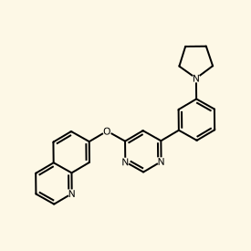 c1cc(-c2cc(Oc3ccc4cccnc4c3)ncn2)cc(N2CCCC2)c1